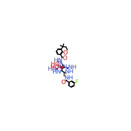 CC1(C)CCOc2c(C(=O)NC3CN4C(=N)N[C@@H](CNC(=O)c5cccc(F)c5)C5NC(=N)N[C@@]54C3(O)O)cccc21